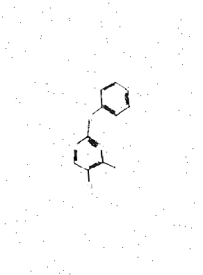 Nc1cnc(Oc2ccccc2)nc1O